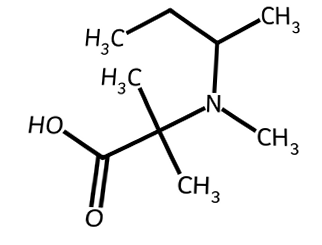 CCC(C)N(C)C(C)(C)C(=O)O